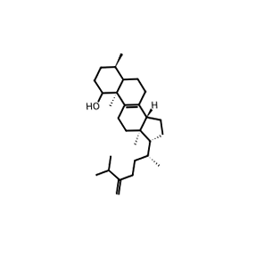 C=C(CC[C@@H](C)[C@H]1CC[C@H]2C3=C(CC[C@]12C)[C@@]1(C)C(O)CC[C@@H](C)C1CC3)C(C)C